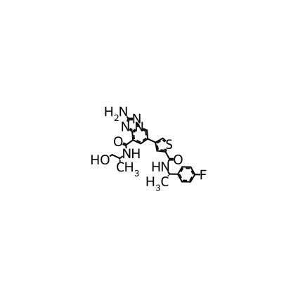 C[C@H](NC(=O)c1cc(-c2cc(C(=O)N[C@@H](C)CO)c3nc(N)nn3c2)cs1)c1ccc(F)cc1